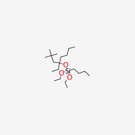 CCCCC(CC)(CC(C)(C)C)O[Si](CCCC)(OCC)OCC